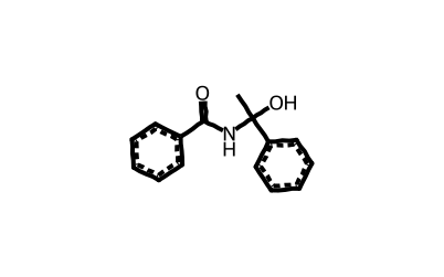 CC(O)(NC(=O)c1ccccc1)c1ccccc1